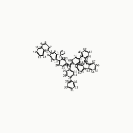 CC1(C)c2cc(-c3cccc4ccccc34)ccc2-c2ccc(N(c3ccc(-c4ccccc4)cc3)c3ccc(-c4ccccc4-n4c5ccccc5c5ccccc54)cc3)cc21